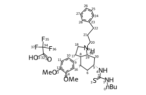 CCCCNC(=S)N[C@@H]1CC[C@@]2(c3ccc(OC)c(OC)c3)CCN(CCCc3ccccc3)[C@H]2C1.O=C(O)C(F)(F)F